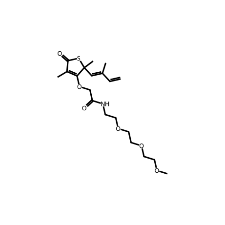 C=C/C(C)=C/C1(C)SC(=O)C(C)=C1OCC(=O)NCCOCCOCCOC